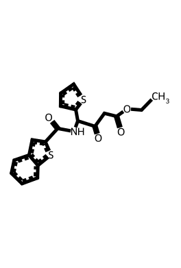 CCOC(=O)CC(=O)C(NC(=O)c1cc2ccccc2s1)c1cccs1